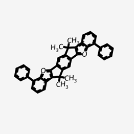 CC1(C)c2cc3c(cc2-c2oc4c(-c5ccccc5)cccc4c21)C(C)(C)c1c-3oc2c(-c3ccccc3)cccc12